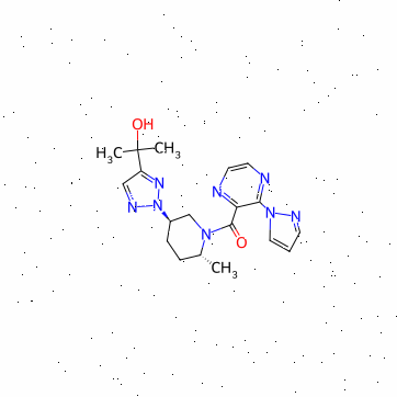 C[C@@H]1CC[C@@H](n2ncc(C(C)(C)O)n2)CN1C(=O)c1nccnc1-n1cccn1